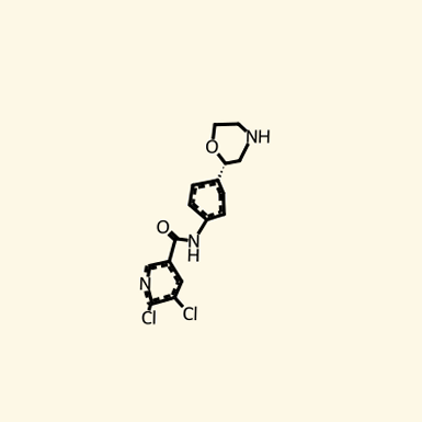 O=C(Nc1ccc([C@H]2CNCCO2)cc1)c1cnc(Cl)c(Cl)c1